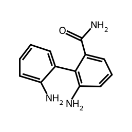 NC(=O)c1cccc(N)c1-c1ccccc1N